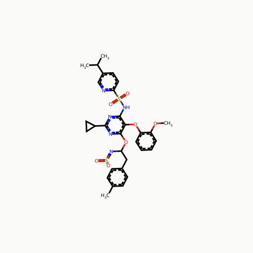 COc1ccccc1Oc1c(NS(=O)(=O)c2ccc(C(C)C)cn2)nc(C2CC2)nc1OC(Cc1ccc(C)cc1)N=S(=O)=O